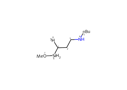 [3H]C(CCNCCCC)[SiH2]OC